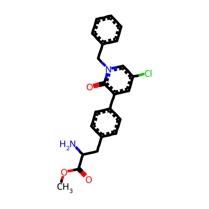 COC(=O)C(N)Cc1ccc(-c2cc(Cl)cn(Cc3ccccc3)c2=O)cc1